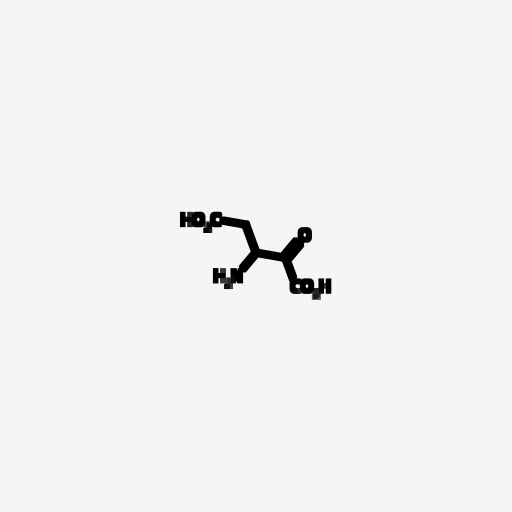 NC(CC(=O)O)C(=O)C(=O)O